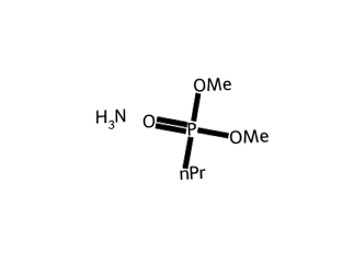 CCCP(=O)(OC)OC.N